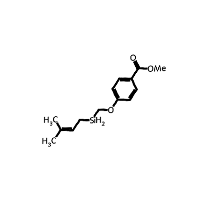 COC(=O)c1ccc(OC[SiH2]CC=C(C)C)cc1